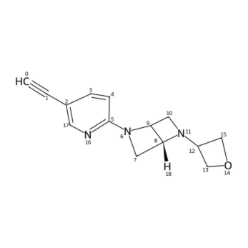 C#Cc1ccc(N2C[C@@H]3C2CN3C2COC2)nc1